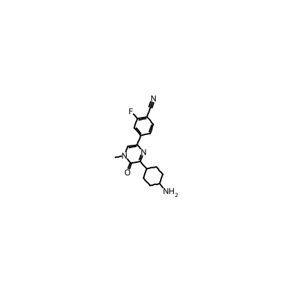 Cn1cc(-c2ccc(C#N)c(F)c2)nc(C2CCC(N)CC2)c1=O